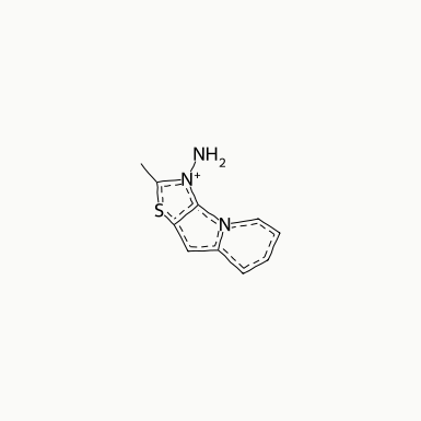 Cc1sc2cc3ccccn3c2[n+]1N